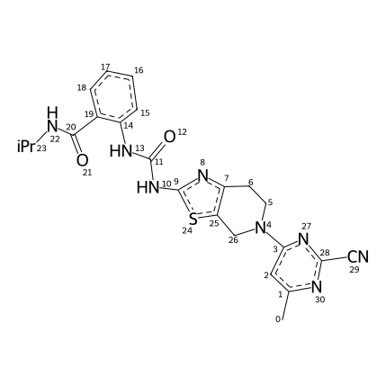 Cc1cc(N2CCc3nc(NC(=O)Nc4ccccc4C(=O)NC(C)C)sc3C2)nc(C#N)n1